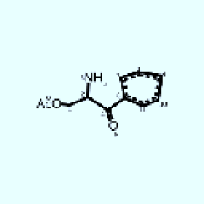 CC(=O)OCC(N)C(=O)c1ccccc1